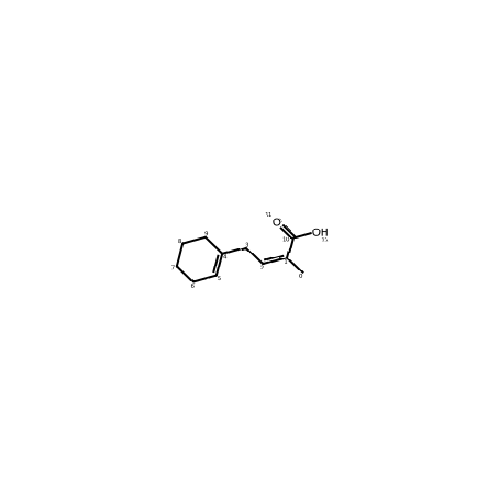 CC(=CCC1=CCCCC1)C(=O)O